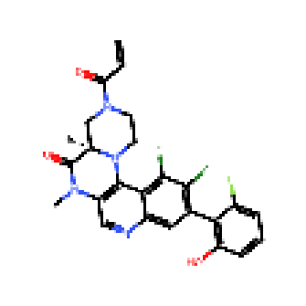 C=CC(=O)N1CCN2c3c(cnc4cc(-c5c(O)cccc5F)c(Cl)c(Cl)c34)N(C)C(=O)[C@H]2C1